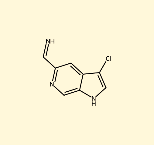 N=Cc1cc2c(Cl)c[nH]c2cn1